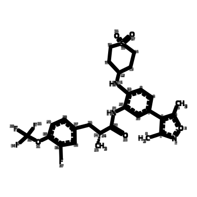 Cc1noc(C)c1-c1ccc(NC2CCS(=O)(=O)CC2)c(NC(=O)[C@H](C)Cc2ccc(OC(F)(F)F)c(F)c2)c1